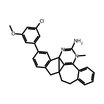 COc1cc(Cl)cc(-c2ccc3c(c2)C24N=C(N)N(C)C5=C2C4(CCc2ccccc25)C3)c1